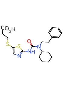 O=C(O)CCSc1cnc(NC(=O)N(CCc2ccccc2)C2CCCCC2)s1